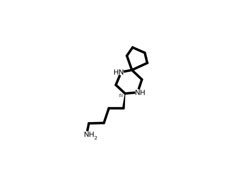 NCCCC[C@H]1CNC2(CCCC2)CN1